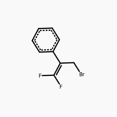 FC(F)=C(CBr)c1ccccc1